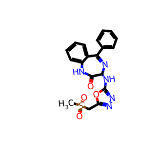 CS(=O)(=O)Cc1nnc(NC2N=C(c3ccccc3)c3ccccc3NC2=O)o1